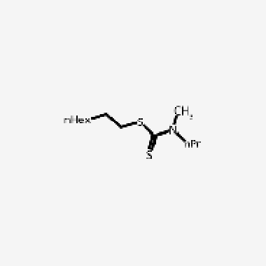 CCCCCCCCSC(=S)N(C)CCC